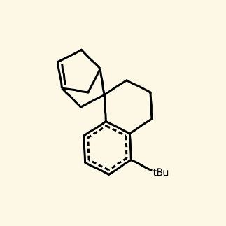 CC(C)(C)c1cccc2c1CCCC21CC2=CCC1C2